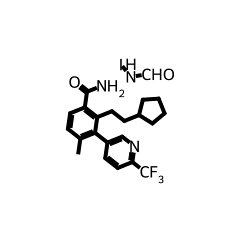 Cc1ccc(C(N)=O)c(CCC2CCCC2)c1-c1ccc(C(F)(F)F)nc1.O=CNI